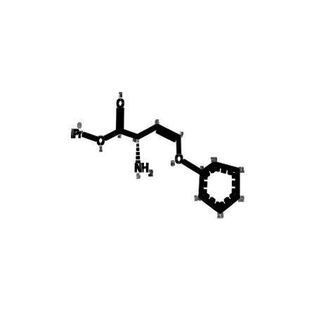 CC(C)OC(=O)[C@@H](N)/C=C\Oc1ccccc1